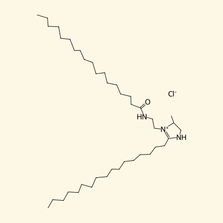 CCCCCCCCCCCCCCCCCC(=O)NCC[N+]1=C(CCCCCCCCCCCCCCCCC)NCC1C.[Cl-]